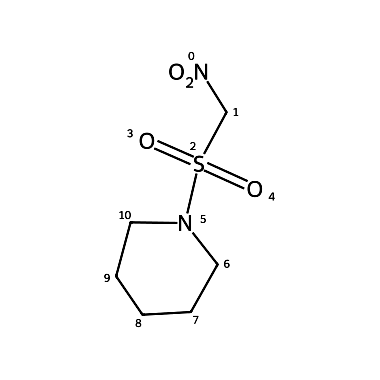 O=[N+]([O-])CS(=O)(=O)N1CCCCC1